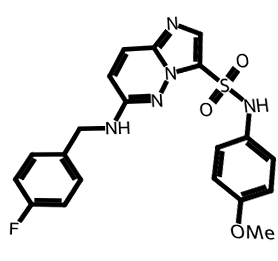 COc1ccc(NS(=O)(=O)c2cnc3ccc(NCc4ccc(F)cc4)nn23)cc1